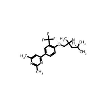 Cc1cc(-c2ccc(OCC(C)(N)CC(C)C)c(C(F)(F)F)c2)nc(C)n1